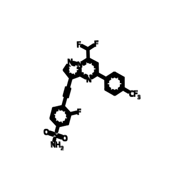 NS(=O)(=O)c1ccc(C#Cc2cnn3c(C(F)F)cc(-c4ccc(C(F)(F)F)cc4)nc23)c(F)c1